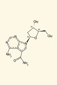 NC(=O)c1cn([C@H]2C[C@H](O)[C@@H](CO)O2)c2ncnc(N)c12